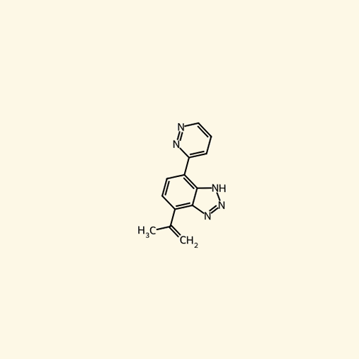 C=C(C)c1ccc(-c2cccnn2)c2[nH]nnc12